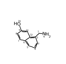 NCc1cccc2ccc(O)cc12